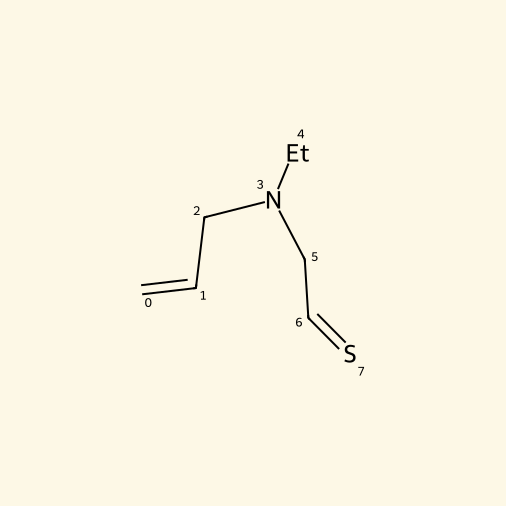 C=CCN(CC)CC=S